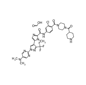 CN(C)c1cnc(-n2cc(-c3cnc(C(=O)Nc4ccc(C(=O)N5CCN(C(=O)C6CCNCC6)CC5)c(Cl)c4)n3C)c(C(F)(F)F)n2)nc1.O=CO